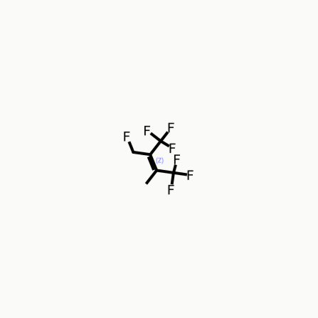 C/C(=C(\CF)C(F)(F)F)C(F)(F)F